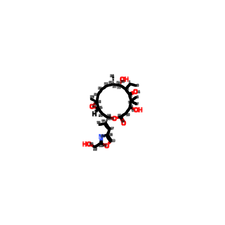 CCC1C(=O)C(C)(C)C(O)CC(=O)O[C@H](C(C)=Cc2coc(CO)n2)C[C@@H]2O[C@]2(C)CCC[C@H](C)[C@@H]1O